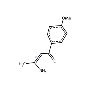 COc1ccc(C(=O)/C=C(/C)N)cc1